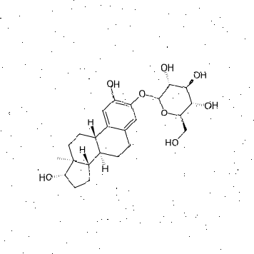 C[C@]12CC[C@@H]3c4cc(O)c(OC5O[C@H](CO)[C@@H](O)[C@H](O)[C@H]5O)cc4CC[C@H]3[C@@H]1CC[C@@H]2O